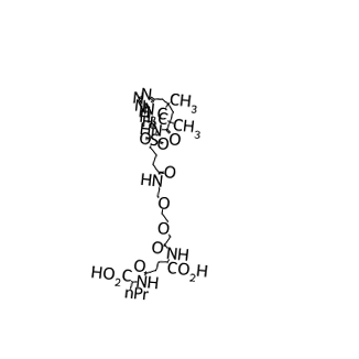 CCCC(NC(=O)CCC(NC(=O)COCCOCCNC(=O)CCCS(=O)(=O)NC(=O)C(C)(C)CC(C)(C)Cc1nnn[nH]1)C(=O)O)C(=O)O